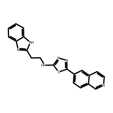 c1ccc2[nH]c(CCNc3nnc(-c4ccc5cnccc5c4)s3)nc2c1